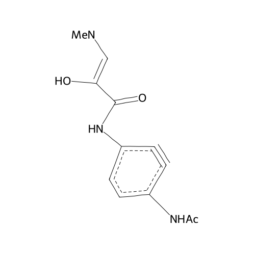 CN/C=C(\O)C(=O)Nc1c#cc(NC(C)=O)cc1